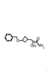 NC(=O)N(O)CC1CC(OCc2ccccc2)C1